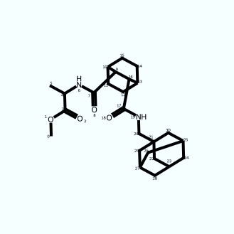 COC(=O)C(C)NC(=O)C1C2CCC(CC2)C1C(=O)NCC12CC3CC(CC(C3)C1)C2